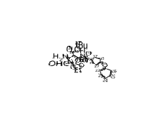 CCOP(=O)(OCC)N(C=O)C(N)C(CNS(=O)(=O)c1ccc(Oc2ccccc2)cc1)C(=O)OC(C)(C)C